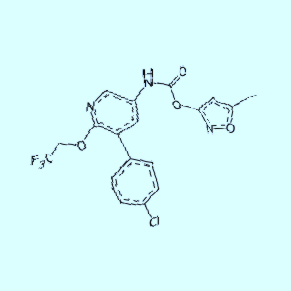 Cc1cc(OC(=O)Nc2cnc(OCC(F)(F)F)c(-c3ccc(Cl)cc3)c2)no1